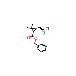 CC1(C)[C@H](C(=O)OCc2ccccc2)[C@@H]1C=C(Cl)Cl